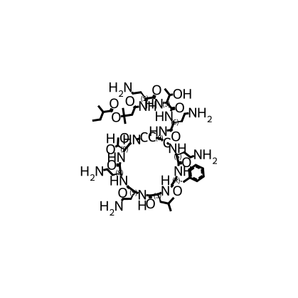 CCC(C)C(=O)OC(C)(C)CC(=O)N[C@@H](CCN)C(=O)N[C@H](C(=O)N[C@@H](CCN)C(=O)N[C@H]1CCNC(=O)[C@H](C(C)O)NC(=O)[C@H](CCN)NC(=O)[C@H](CCN)NC(=O)[C@H](CC(C)C)NC(=O)[C@@H](Cc2ccccc2)NC(=O)[C@H](CCN)NC1)C(C)O